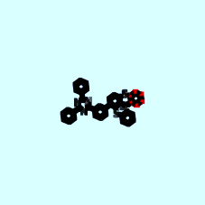 c1ccc(-c2nc(-c3ccccc3)nc(-c3cccc(-c4ccc5c6c4Sc4ccccc4[Si]6(c4ccccc4)c4ccccc4S5)c3)n2)cc1